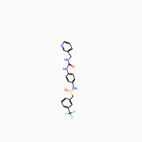 O=C(NCc1cccnc1)Nc1ccc(N[S+]([O-])Cc2cccc(C(F)(F)F)c2)cc1